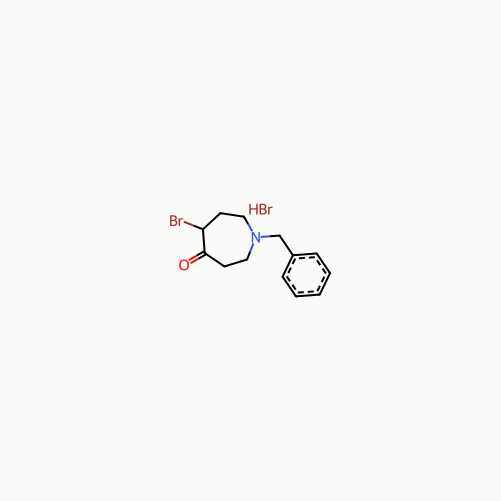 Br.O=C1CCN(Cc2ccccc2)CCC1Br